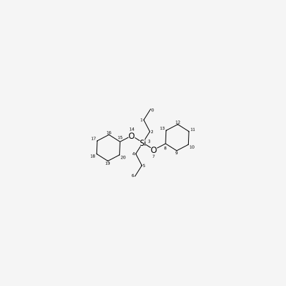 CCC[Si](CCC)(OC1CCCCC1)OC1CCCCC1